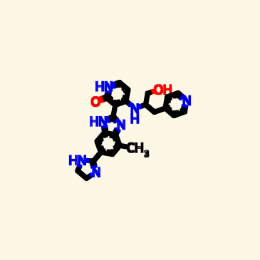 Cc1cc(C2=NCCN2)cc2[nH]c(-c3c(NC(CO)Cc4ccncc4)cc[nH]c3=O)nc12